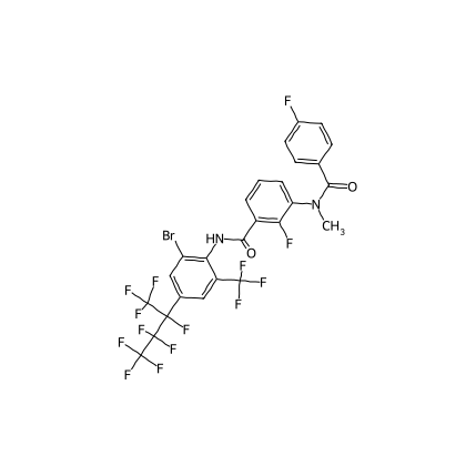 CN(C(=O)c1ccc(F)cc1)c1cccc(C(=O)Nc2c(Br)cc(C(F)(C(F)(F)F)C(F)(F)C(F)(F)F)cc2C(F)(F)F)c1F